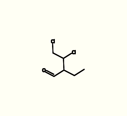 CCC(C=O)C(Cl)CCl